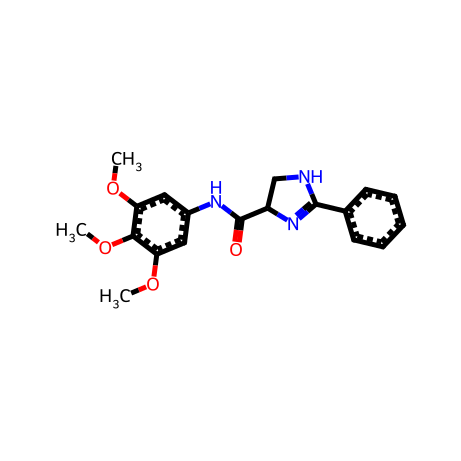 COc1cc(NC(=O)C2CNC(c3ccccc3)=N2)cc(OC)c1OC